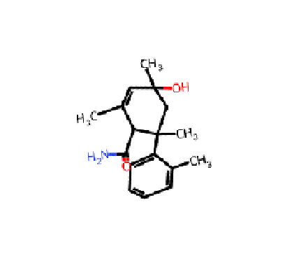 CC1=CC(C)(O)CC(C)(c2ccccc2C)C1C(N)=O